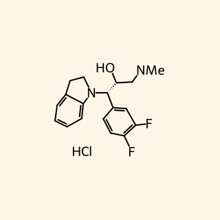 CNCC(O)[C@H](c1ccc(F)c(F)c1)N1CCc2ccccc21.Cl